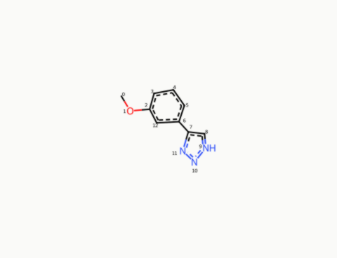 COc1cccc(-c2c[nH]nn2)c1